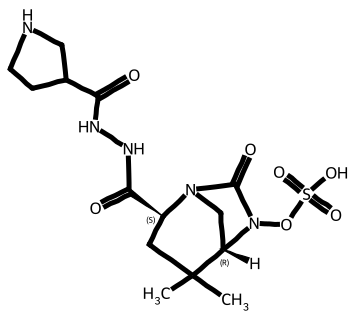 CC1(C)C[C@@H](C(=O)NNC(=O)C2CCNC2)N2C[C@@H]1N(OS(=O)(=O)O)C2=O